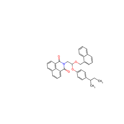 CCC(C)c1ccc(OC(CN2C(=O)c3cccc4cccc(c34)C2=O)OCc2cccc3ccccc23)cc1